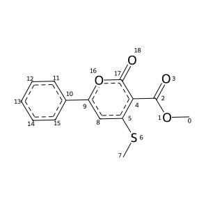 COC(=O)c1c(SC)cc(-c2ccccc2)oc1=O